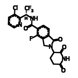 O=C1CCC(N2Cc3c(ccc(C(=O)N[C@H](c4ncccc4Cl)C(F)(F)F)c3F)C2=O)C(=O)N1